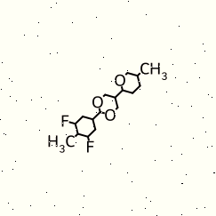 CC1CCC(C2COC(C3CC(F)C(C)C(F)C3)OC2)OC1